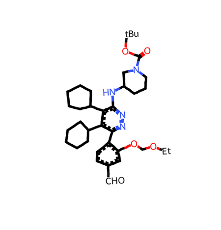 CCOCOc1cc(C=O)ccc1-c1nnc(NC2CCCN(C(=O)OC(C)(C)C)C2)c(C2CCCCC2)c1C1CCCCC1